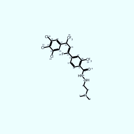 CN(C)CCNNC(=O)c1ccc(C(F)=CC(c2cc(Cl)c(Cl)c(Cl)c2)C(F)(F)F)cc1C(F)(F)F